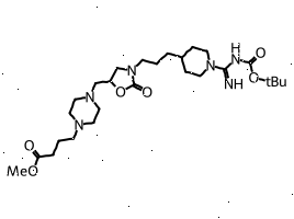 COC(=O)CCCN1CCN(CC2CN(CCCC3CCN(C(=N)NC(=O)OC(C)(C)C)CC3)C(=O)O2)CC1